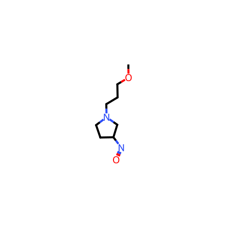 COCCCN1CCC(N=O)C1